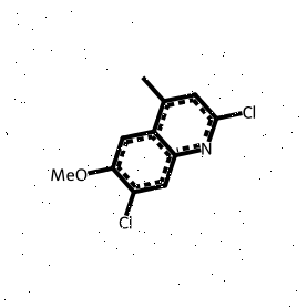 COc1cc2c(C)cc(Cl)nc2cc1Cl